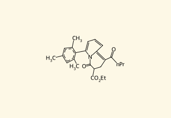 CCCC(=O)C1=C2C=CC=C(c3c(C)cc(C)cc3C)N2C(=O)C(C(=O)OCC)C1